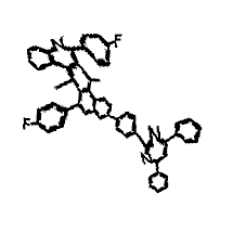 Cc1c2c(-c3ccc(F)cc3)nc3ccccc3c2c(C)c2c(-c3ccc(F)cc3)cc3cc(-c4ccc(-c5nc(-c6ccccc6)cc(-c6ccccc6)n5)cc4)ccc3c12